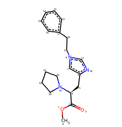 COC(=O)[C@H](Cc1cn(CCc2ccccc2)cn1)N1CCCC1